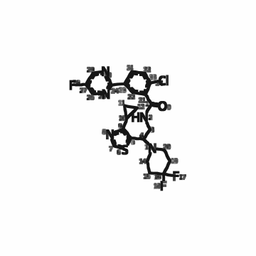 O=C(NCC(c1scnc1C1CC1)N1CCC(F)(F)CC1)c1cc(-c2ncc(F)cn2)ccc1Cl